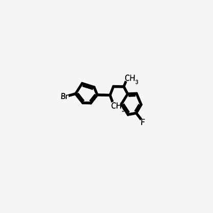 CC(CC(C)c1ccc(Br)cc1)c1ccc(F)cc1